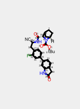 CC(C)(C)OC(=O)N1[C@@H]2CCC(C2)[C@H]1C(=O)NC(C#N)Cc1ccc(-c2ccc3c(c2)NC(=O)C3)cc1F